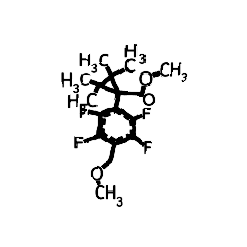 COCc1c(F)c(F)c(C2(C(=O)OC)C(C)(C)C2(C)C)c(F)c1F